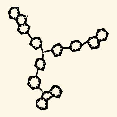 c1cc(-c2ccc(N(c3ccc(-c4ccc(-c5ccc6ccccc6c5)cc4)cc3)c3ccc(-c4ccc5c(c4)oc4ccccc45)cc3)cc2)cc(-n2c3ccccc3c3ccccc32)c1